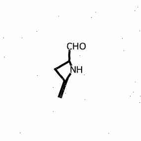 C=C1CC(C=O)N1